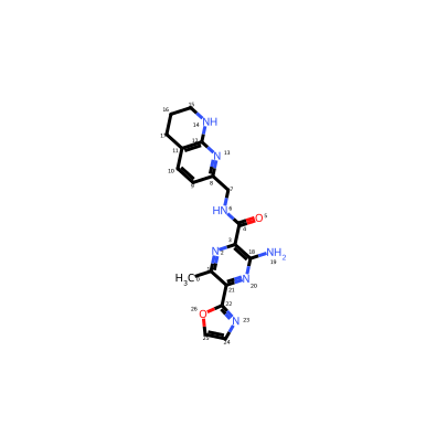 Cc1nc(C(=O)NCc2ccc3c(n2)NCCC3)c(N)nc1-c1ncco1